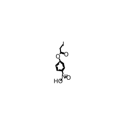 O=C(CI)Oc1ccc([N+](=O)O)cc1